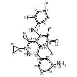 Cc1c(Nc2ccc(I)cc2F)c2c(=O)n(C3CC3)nc(-c3cccc(N)c3)c2n(C)c1=O